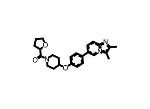 Cc1nc2ccc(-c3ccc(OC4CCN(C(=O)C5CCCO5)CC4)cc3)cn2c1C